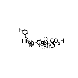 CC(C)(C)[C@@]1(CNC(=O)c2ccc(-c3cnn(NCCc4cccc(F)c4)c3)nc2)CCCN1C(=O)O